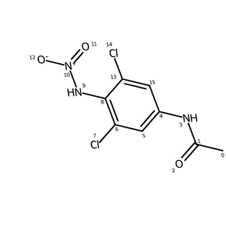 CC(=O)Nc1cc(Cl)c(N[N+](=O)[O-])c(Cl)c1